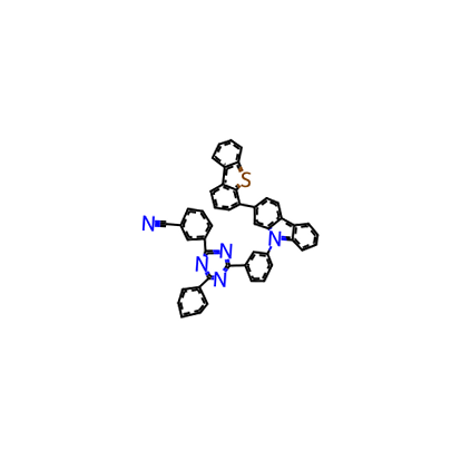 N#Cc1cccc(-c2nc(-c3ccccc3)nc(-c3cccc(-n4c5ccccc5c5ccc(-c6cccc7c6sc6ccccc67)cc54)c3)n2)c1